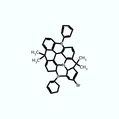 CC1(C)C2=CCC3B(C4=CC=CCC4)C4=CC(Br)=CC5C4N4C3=C2C2c3c(cccc31)B(c1ccccc1)c1ccc(c4c12)C5(C)C